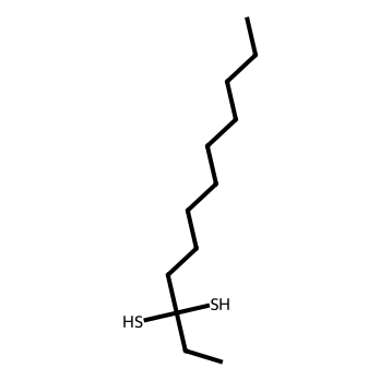 CCCCCCCCCC(S)(S)CC